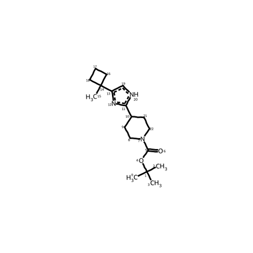 CC(C)(C)OC(=O)N1CCC(c2nc(C3(C)CCC3)c[nH]2)CC1